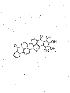 O=C1c2ccccc2-c2ccc3c4ccc5c6c(ccc(c7ccc1c2c73)c64)C(=O)c1c(O)c(O)c(O)c(O)c1-5